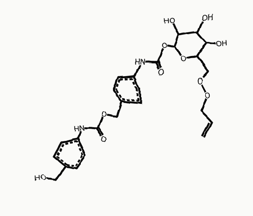 C=CCOOCC1OC(OC(=O)Nc2ccc(COC(=O)Nc3ccc(CO)cc3)cc2)C(O)C(O)C1O